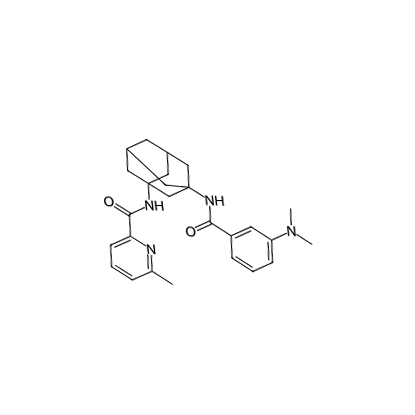 Cc1cccc(C(=O)NC23CC4CC(CC(NC(=O)c5cccc(N(C)C)c5)(C4)C2)C3)n1